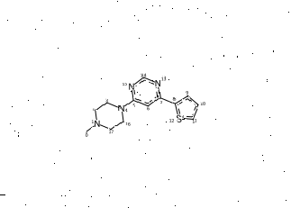 CN1CCN(c2cc(-c3cccs3)ncn2)CC1